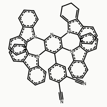 N#Cc1ccc(-c2c(-n3c4ccccc4c4ccccc43)c(-n3c4c(c5ccccc53)=CCCC=4)nc(-n3c4ccccc4c4ccccc43)c2-n2c3ccccc3c3ccccc32)cc1C#N